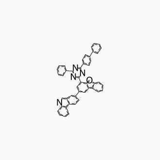 c1ccc(-c2ccc(-c3nc(-c4ccccc4)nc(-c4cc(-c5ccc6c(cnc7ccccc76)c5)cc5c4oc4ccccc45)n3)cc2)cc1